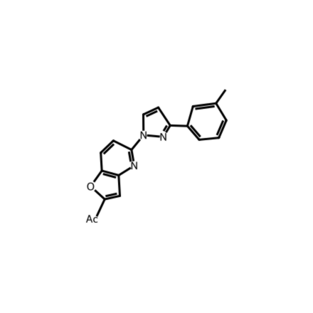 CC(=O)c1cc2nc(-n3ccc(-c4cccc(C)c4)n3)ccc2o1